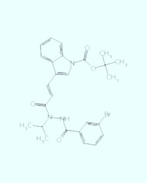 CC(C)N(NC(=O)c1cccc(Br)c1)C(=O)/C=C/c1cn(C(=O)OC(C)(C)C)c2ccccc12